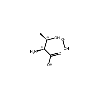 C[C@@H](O)[C@H](N)C(=O)O.[O]O